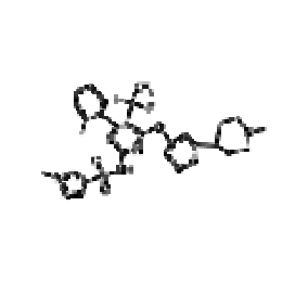 Cc1ccccc1-c1nc(NS(=O)(=O)c2cnn(C)c2)nc(Oc2cccc(C3CCN(C)CC3)c2)c1C(F)(F)C(F)(F)F